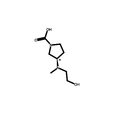 CN(CCO)[C@@H]1CCN(C(=O)O)C1